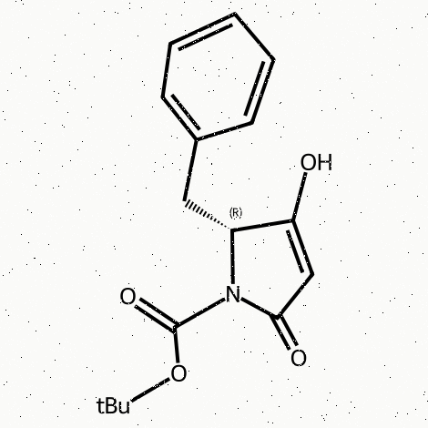 CC(C)(C)OC(=O)N1C(=O)C=C(O)[C@H]1Cc1ccccc1